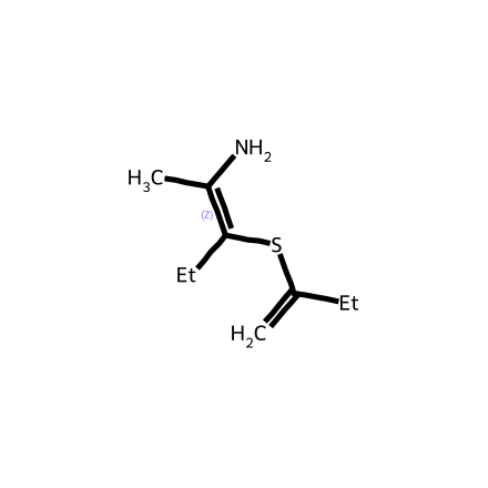 C=C(CC)S/C(CC)=C(/C)N